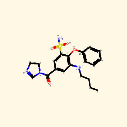 CCCCNc1cc(C(=O)N2C=NCC2)cc(S(N)(=O)=O)c1Oc1ccccc1